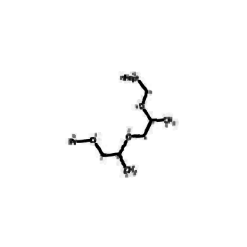 [CH2]C(C)OCC(C)OCC(C)OCCCCCCCC